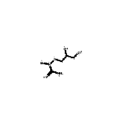 CCN(OCC(O)CO)C(N)=O